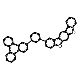 c1cc(-c2ccc3oc4cc5oc6ccccc6c5cc4c3c2)cc(-c2ccc3c4ccccc4c4ccccc4c3c2)c1